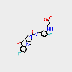 CN1c2ccc(F)cc2C(=O)CC12CCN(C(=O)NCc1ccc(F)c(NCCC(=O)O)c1)CC2